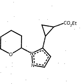 CCOC(=O)C1CC1c1ccnn1C1CCCCO1